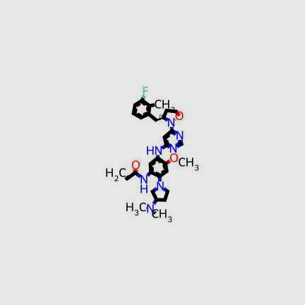 C=CC(=O)Nc1cc(Nc2cc(N3OCC[C@@H]3Cc3cccc(F)c3C)ncn2)c(OC)cc1N1CCC(N(C)C)C1